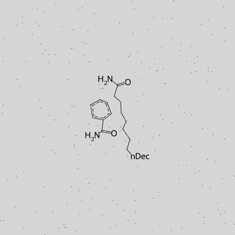 CCCCCCCCCCCCCCCCCC(N)=O.NC(=O)c1ccccc1